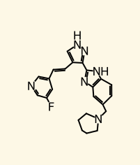 Fc1cncc(/C=C/c2c[nH]nc2-c2nc3cc(CN4CCCCC4)ccc3[nH]2)c1